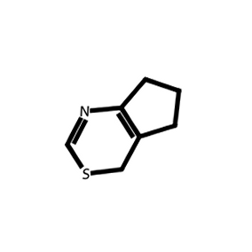 C1=NC2=C(CCC2)CS1